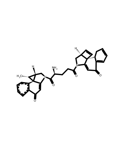 C[C@@H]1[C@@H]2CN(C(=O)[C@@H](N)CCC(=O)N3C[C@H]4C=C[C@@]45C3=CC(=O)C3=CC=CCC35)C3=CC(=O)c4ccccc4[C@@]312